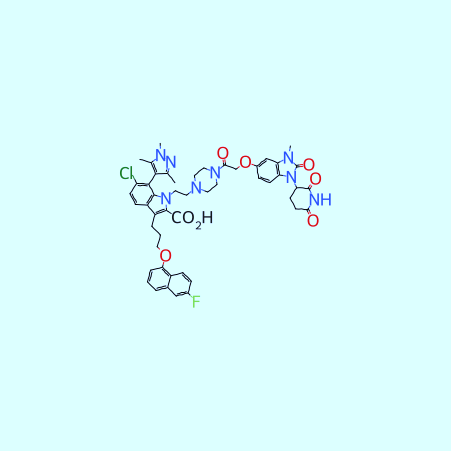 Cc1nn(C)c(C)c1-c1c(Cl)ccc2c(CCCOc3cccc4cc(F)ccc34)c(C(=O)O)n(CCN3CCN(C(=O)COc4ccc5c(c4)n(C)c(=O)n5C4CCC(=O)NC4=O)CC3)c12